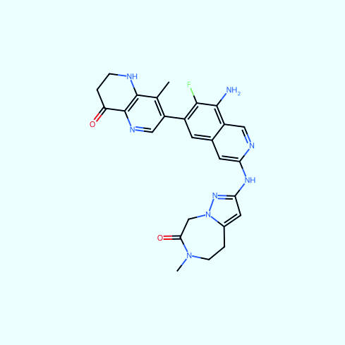 Cc1c(-c2cc3cc(Nc4cc5n(n4)CC(=O)N(C)CC5)ncc3c(N)c2F)cnc2c1NCCC2=O